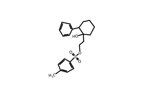 Cc1ccc(S(=O)(=O)OCCC2(O)CCCCC2c2ccccc2)cc1